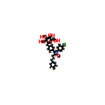 O=C1C(CCCc2ccc(F)cc2)C(c2ccc(C[C@@H]3O[C@H](CO)[C@@H](O)[C@H](O)[C@H]3O)cc2)N1c1ccc(Cl)cc1